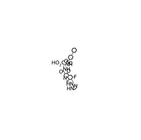 Cn1cc(C(=O)NCC(NS(=O)(=O)c2ccc(-c3ccccc3)cc2)C(=O)O)c(=O)c2cc(F)c(CNc3ncc[nH]3)c(F)c21